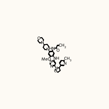 C=CC(=O)Nc1cc(Nc2cc(N3OCCC3c3ccc(C)nc3)ncn2)c(OC)cc1N1CCC(N2CCOCC2)CC1